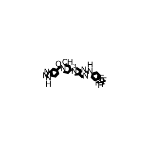 C[C@@H]1C[C@H](N2Cc3cnc(Nc4ccc(S(F)(F)(F)(F)F)cc4)nc3C2)CCN1C(=O)c1ccc2[nH]nnc2c1